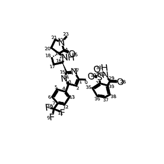 Cc1cc(-c2ccc(C(F)(F)F)cc2)nc([C@H]2CC[C@@]3(CCN(C)C3=O)N2)n1.O=C1NS(=O)(=O)c2ccccc21